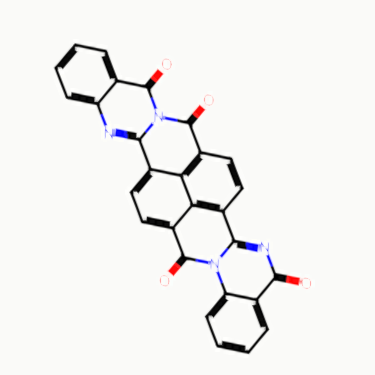 O=c1nc2c3ccc4c(=O)n5c(=O)c6ccccc6nc5c5ccc(c(=O)n2c2ccccc12)c3c45